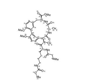 CNCC(=O)N[C@@H](CCCCNC(=O)OC(C)(C)C)C(=O)N(C)[C@@H]1C(=O)N[C@@H](C)C(=O)N[C@H](C(=O)OC)Cc2ccc(OC)c(c2)-c2cc1ccc2OC